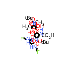 CN(C(=O)OC(C)(C)C)[C@@H]1[C@@H](O)[C@@H](O[C@@H]2[C@@H](O)[C@H](O[C@H]3O[C@H](CNCCF)CC[C@H]3NCCF)[C@@H](NC(=O)OC(C)(C)C)C[C@H]2NC(=O)O)OC[C@]1(C)O